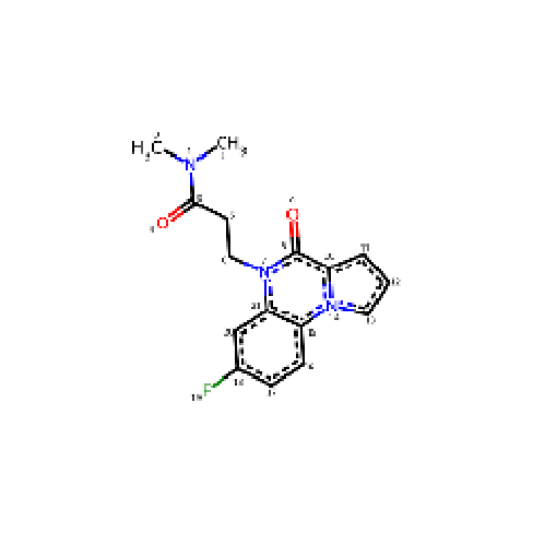 CN(C)C(=O)CCn1c(=O)c2cccn2c2ccc(F)cc21